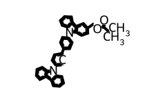 CC(C)C(=O)OCc1ccc2c(c1)c1ccccc1n2-c1ccc(-c2ccc(-n3c4ccccc4c4ccccc43)cc2)cc1